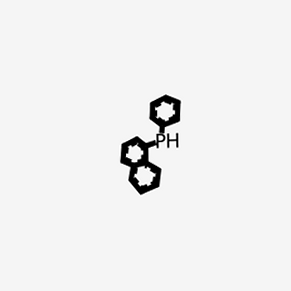 c1ccc(Pc2cccc3ccccc23)cc1